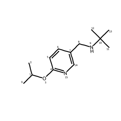 CC(C)Oc1ccc(CNC(C)(C)C)cn1